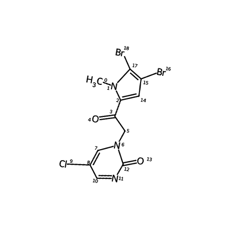 Cn1c(C(=O)Cn2cc(Cl)cnc2=O)cc(Br)c1Br